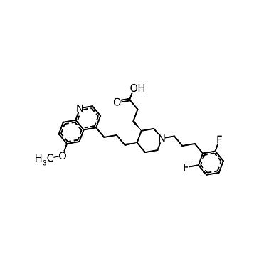 COc1ccc2nccc(CCC[C@@H]3CCN(CCCc4c(F)cccc4F)C[C@@H]3CCC(=O)O)c2c1